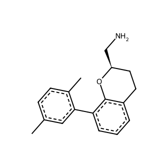 Cc1ccc(C)c(-c2cccc3c2O[C@@H](CN)CC3)c1